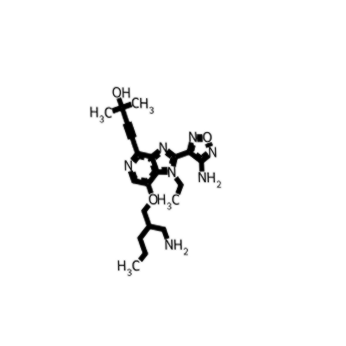 CCCC(CN)COc1cnc(C#CC(C)(C)O)c2nc(-c3nonc3N)n(CC)c12